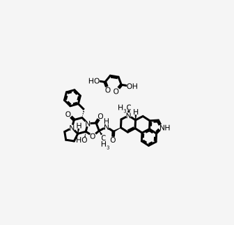 CN1C[C@H](C(=O)N[C@]2(C)O[C@@]3(O)[C@@H]4CCCN4C(=O)[C@H](Cc4ccccc4)N3C2=O)C=C2c3cccc4[nH]cc(c34)C[C@H]21.O=C(O)/C=C\C(=O)O